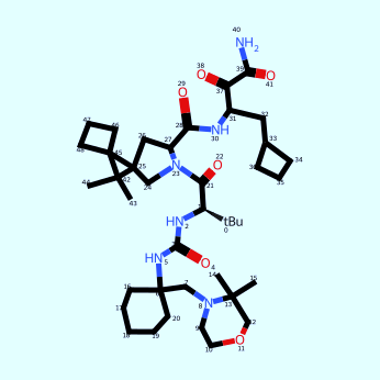 CC(C)(C)[C@@H](NC(=O)NC1(CN2CCOCC2(C)C)CCCCC1)C(=O)N1CC2(CC1C(=O)NC(CC1CCC1)C(=O)C(N)=O)C(C)(C)C21CCC1